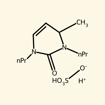 CCCN1C=CC(C)N(CCC)C1=O.O=S(=O)([O-])O.[H+]